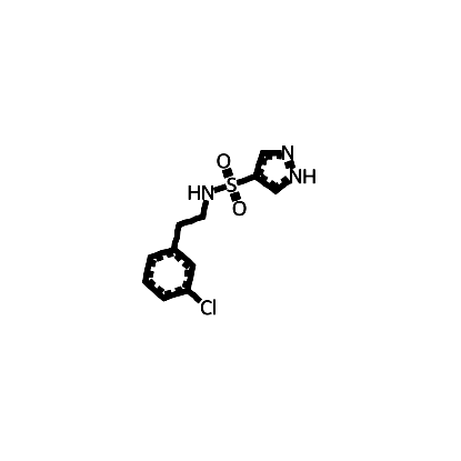 O=S(=O)(NCCc1cccc(Cl)c1)c1cn[nH]c1